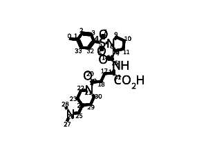 Cc1ccc(S(=O)(=O)N2CCC[C@@H]2C(=O)NC(CCC(=O)N2CCC(CN(C)C)CC2)C(=O)O)cc1